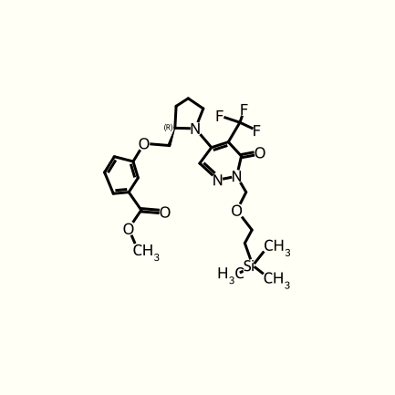 COC(=O)c1cccc(OC[C@H]2CCCN2c2cnn(COCC[Si](C)(C)C)c(=O)c2C(F)(F)F)c1